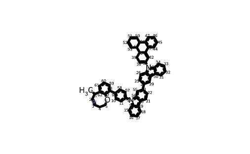 CC1/C=C\CCOc2c(-c3ccc(-n4c5ccccc5c5ccc(-c6ccc7c(c6)c6ccccc6n7C6=CCC7C(=C6)c6ccccc6C6C=CC=CC76)cc54)cc3)cccc21